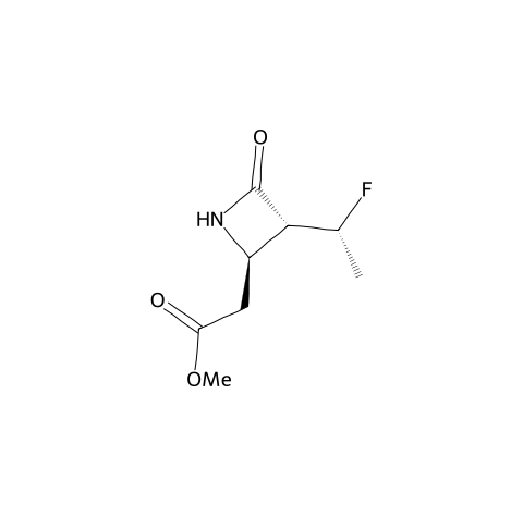 COC(=O)C[C@H]1NC(=O)[C@@H]1[C@@H](C)F